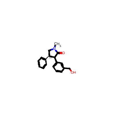 CN1C[C@H](c2ccccc2)C(c2cccc(CO)c2)C1=O